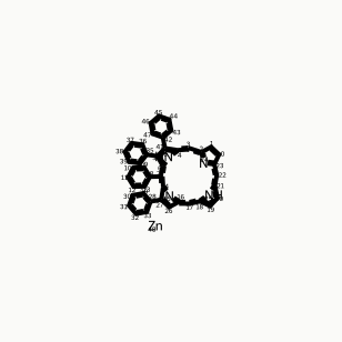 C1=Cc2cc3[nH]c(c(-c4ccccc4)c4nc(cc5ccc(cc1n2)[nH]5)C=C4c1ccccc1)c(-c1ccccc1)c3-c1ccccc1.[Zn]